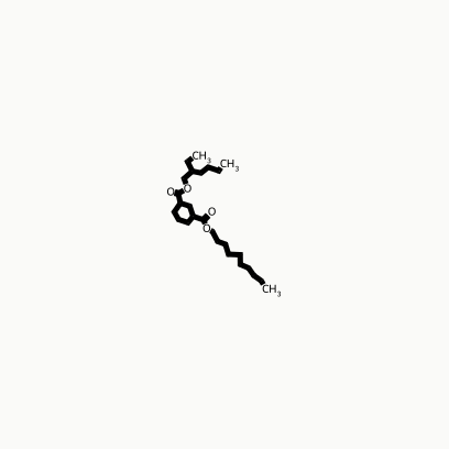 CCCCCCCCCCOC(=O)C1CCCC(C(=O)OCC(CC)CCCC)C1